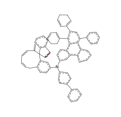 C=C1/C=C\C=C/Cc2ccc(N(c3ccc(-c4ccccc4)cc3)c3ccc4c(c3)c3ccccc3c3c(-c5ccccc5)cc(C5=CCCC=C5)c(C5=CC=CCC5)c43)cc2C12c1ccccc1-c1ccccc12